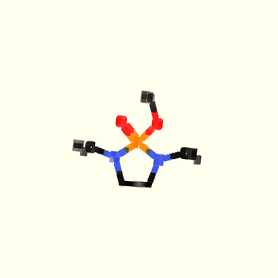 CCOP1(=O)N(C)CCN1C